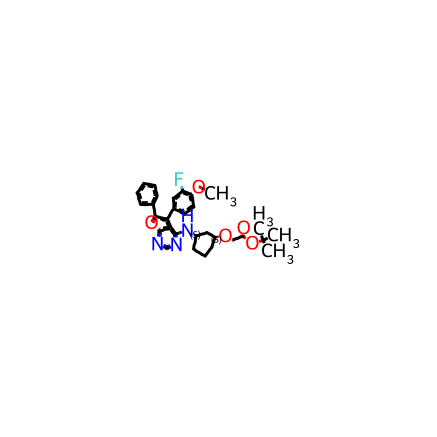 COc1ccc(-c2c(-c3ccccc3)oc3ncnc(N[C@H]4CCC[C@H](OCC(=O)OC(C)(C)C)C4)c23)cc1F